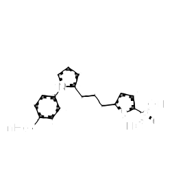 CCCCCCc1ccc(-n2cccc2CCCc2ccc(P(=O)(O)O)s2)cc1